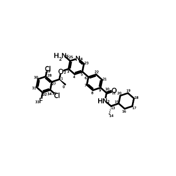 C[C@H](Oc1cc(-c2ccc(C(=O)N[C@@H](C)C3CCCCC3)cc2)cnc1N)c1c(Cl)ccc(F)c1Cl